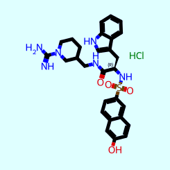 Cl.N=C(N)N1CCCC(CNC(=O)[C@@H](Cc2c[nH]c3ccccc23)NS(=O)(=O)c2ccc3cc(O)ccc3c2)C1